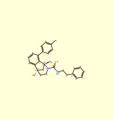 Cc1ccc(-c2cccc3c2[C@H]2C[C@H]3CCN2C(=S)NCCc2ccccc2)cc1